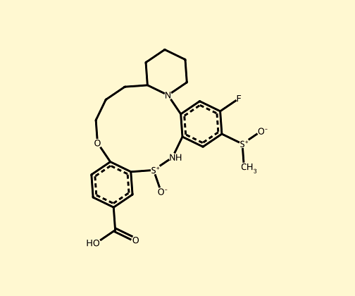 C[S+]([O-])c1cc2c(cc1F)N1CCCCC1CCCOc1ccc(C(=O)O)cc1[S+]([O-])N2